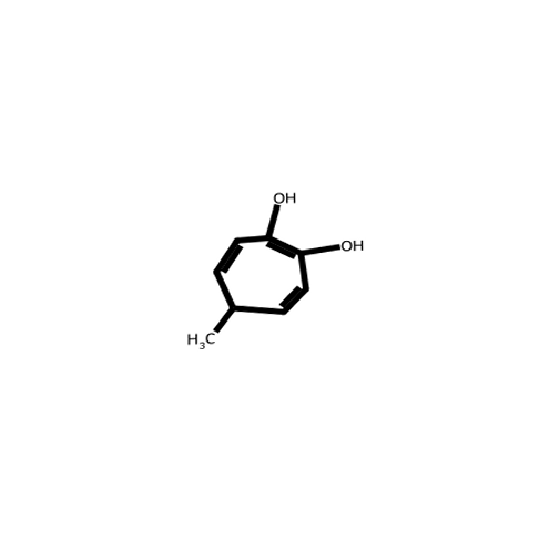 CC1C=CC(O)=C(O)C=C1